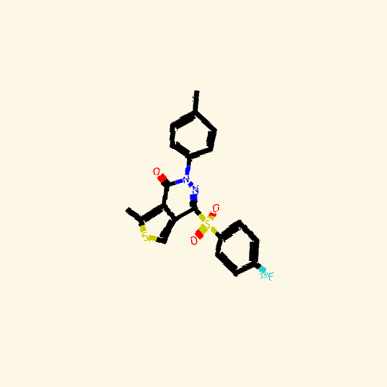 Cc1ccc(-n2nc(S(=O)(=O)c3ccc([18F])cc3)c3csc(C)c3c2=O)cc1